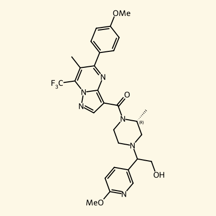 COc1ccc(-c2nc3c(C(=O)N4CCN(C(CO)c5ccc(OC)nc5)C[C@H]4C)cnn3c(C(F)(F)F)c2C)cc1